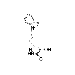 O=c1[nH]nc(CCCn2ccc3ccccc32)cc1O